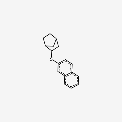 c1ccc2cc(SC3CC4CCC3C4)ccc2c1